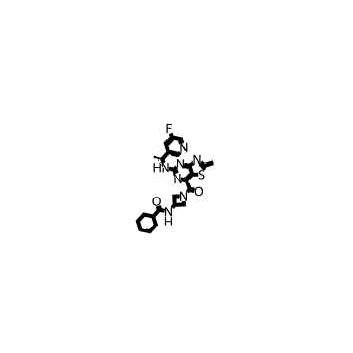 Cc1nc2nc(N[C@@H](C)c3cncc(F)c3)nc(C(=O)N3CC(NC(=O)C4CCCCC4)C3)c2s1